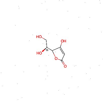 O=C1C=C(O)C([C@@H](O)CO)O1